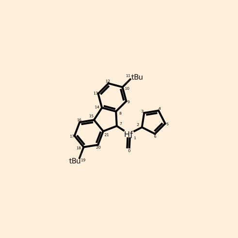 [CH2]=[Hf]([CH]1C=CC=C1)[CH]1c2cc(C(C)(C)C)ccc2-c2ccc(C(C)(C)C)cc21